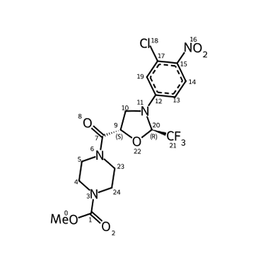 COC(=O)N1CCN(C(=O)[C@@H]2CN(c3ccc([N+](=O)[O-])c(Cl)c3)[C@@H](C(F)(F)F)O2)CC1